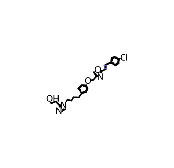 OCCc1nccn1CCCCc1ccc(OCc2coc(/C=C/c3ccc(Cl)cc3)n2)cc1